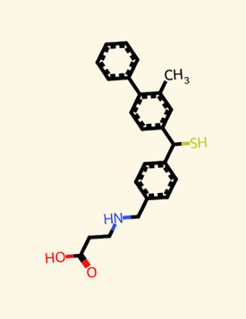 Cc1cc(C(S)c2ccc(CNCCC(=O)O)cc2)ccc1-c1ccccc1